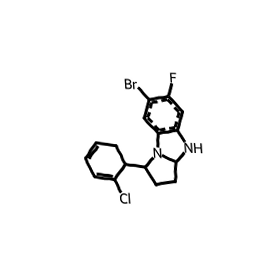 Fc1cc2c(cc1Br)N1C(CCC1C1CC=CC=C1Cl)N2